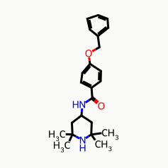 CC1(C)CC(NC(=O)c2ccc(OCc3ccccc3)cc2)CC(C)(C)N1